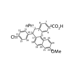 CCC[C@H](c1ccc(C(=O)O)cc1)C(c1ccc(Cl)cc1)c1ccc2cc(OC)ccc2c1